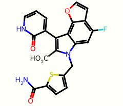 NC(=O)c1ccc(Cn2c(C(=O)O)c(-c3ccc[nH]c3=O)c3c4occc4c(F)cc32)s1